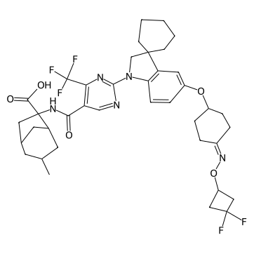 CC1CC2CC(C1)C(NC(=O)c1cnc(N3CC4(CCCCC4)c4cc(OC5CCC(=NOC6CC(F)(F)C6)CC5)ccc43)nc1C(F)(F)F)(C(=O)O)C2